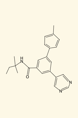 CCC(C)(C)NC(=O)c1cc(-c2ccc(C)cc2)cc(-c2cncnc2)c1